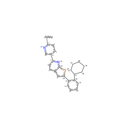 CNc1ccc(-c2ccc3cc(-c4ccccc4C4CCCCC4)sc3n2)cn1